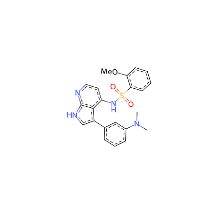 COc1ccccc1S(=O)(=O)Nc1ccnc2[nH]cc(-c3cccc(N(C)C)c3)c12